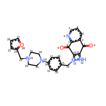 O=C1c2cccnc2C(=O)c2c1[nH]n2Cc1ccc(N2CCN(Cc3ccco3)CC2)cc1